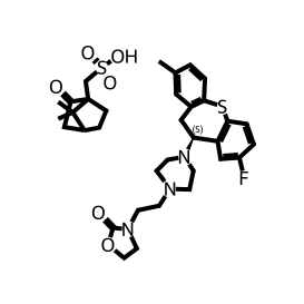 CC1(C)C2CCC1(CS(=O)(=O)O)C(=O)C2.Cc1ccc2c(c1)C[C@H](N1CCN(CCN3CCOC3=O)CC1)c1cc(F)ccc1S2